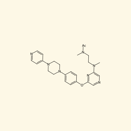 CC(=O)N(C)CCN(C)c1cncc(Oc2ccc(N3CCN(c4ccncc4)CC3)cc2)n1